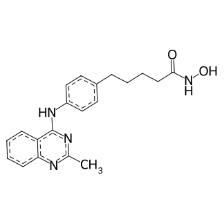 Cc1nc(Nc2ccc(CCCCC(=O)NO)cc2)c2ccccc2n1